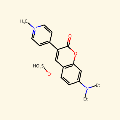 CCN(CC)c1ccc2cc(-c3cc[n+](C)cc3)c(=O)oc2c1.O=S(=O)([O-])O